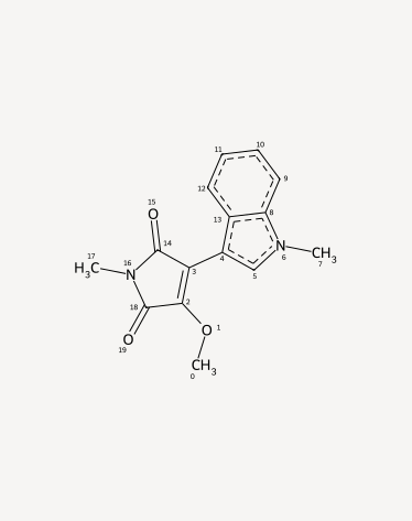 COC1=C(c2cn(C)c3ccccc23)C(=O)N(C)C1=O